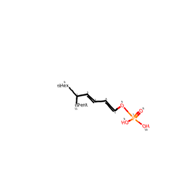 CCCCCCC(C=CC=COP(=O)(O)O)CCCCC